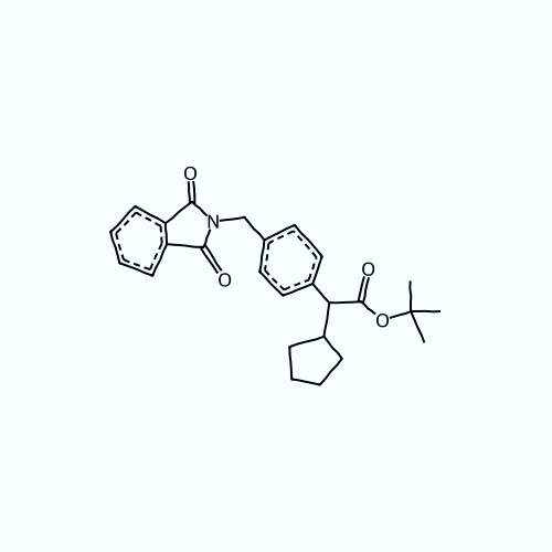 CC(C)(C)OC(=O)C(c1ccc(CN2C(=O)c3ccccc3C2=O)cc1)C1CCCC1